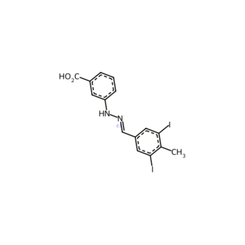 Cc1c(I)cc(/C=N/Nc2cccc(C(=O)O)c2)cc1I